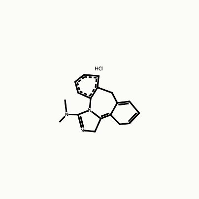 CN(C)C1=NCC2=C3CC=CC=C3Cc3ccccc3N12.Cl